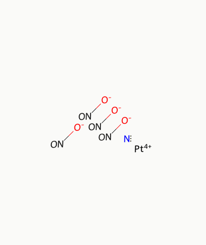 O=N[O-].O=N[O-].O=N[O-].O=N[O-].[N].[Pt+4]